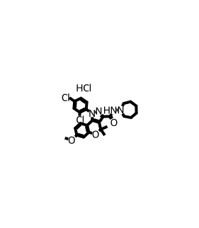 COc1ccc2c(c1)OC(C)(C)c1c(C(=O)NN3CCCCCC3)nn(-c3ccc(Cl)cc3Cl)c1-2.Cl